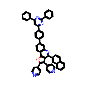 c1ccc(-c2cc(-c3ccc(-c4ccc5c(c4)nc(-c4ccc6ccccc6c4)c4c(-c6ccncc6)c(-c6ccncc6)oc45)cc3)nc(-c3ccccc3)n2)cc1